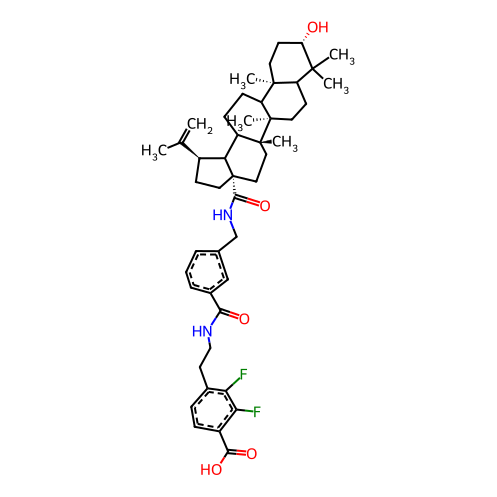 C=C(C)[C@@H]1CC[C@]2(C(=O)NCc3cccc(C(=O)NCCc4ccc(C(=O)O)c(F)c4F)c3)CC[C@]3(C)C(CCC4[C@@]5(C)CC[C@H](O)C(C)(C)C5CC[C@]43C)C12